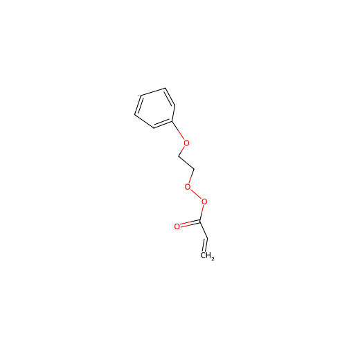 C=CC(=O)OOCCOc1cc[c]cc1